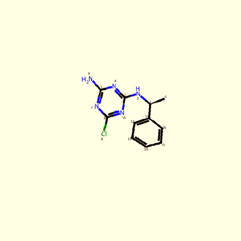 C[C@H](Nc1nc(N)nc(Cl)n1)c1ccccc1